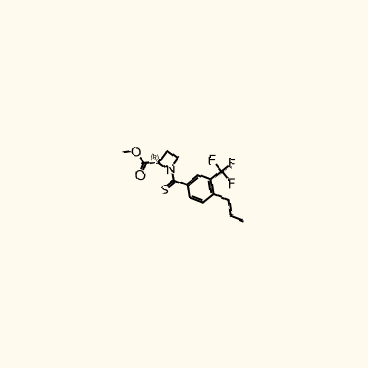 CCCc1ccc(C(=S)N2CC[C@@H]2C(=O)OC)cc1C(F)(F)F